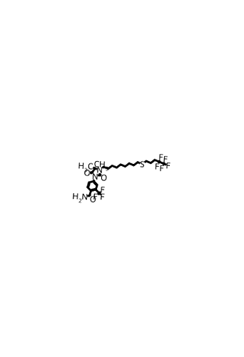 CC1(C)C(=O)N(c2ccc(C(N)=O)c(C(F)(F)F)c2)C(=O)N1CCCCCCCCCSCCCC(F)(F)C(F)(F)F